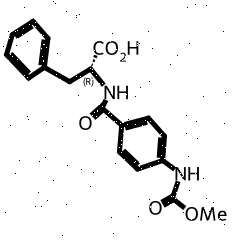 COC(=O)Nc1ccc(C(=O)N[C@H](Cc2ccccc2)C(=O)O)cc1